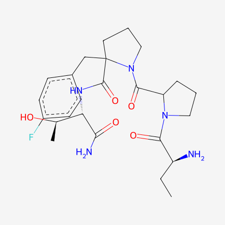 CC[C@H](N)C(=O)N1CCCC1C(=O)N1CCCC1(Cc1ccc(F)cc1)C(=O)N[C@H](C(N)=O)[C@@H](C)O